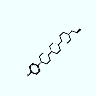 C=CC[C@H]1CC[C@H]([C@H]2CC[C@H]([C@H]3CC[C@H](c4ccc(I)cc4)CC3)CC2)CC1